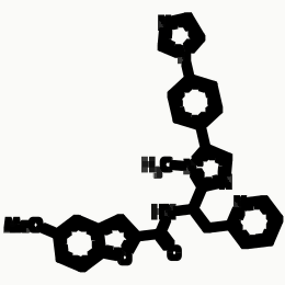 COc1ccc2oc(C(=O)NC(Cc3ccccn3)c3ncc(-c4ccc(-n5ccnc5)cc4)n3C)cc2c1